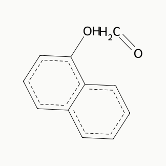 C=O.Oc1cccc2ccccc12